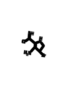 N=C(Cl)C1=C(N)C(Br)CN1